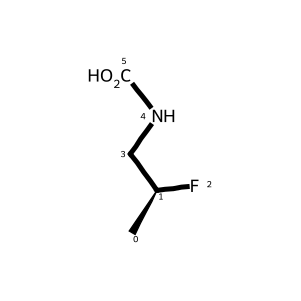 C[C@H](F)CNC(=O)O